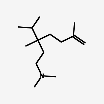 C=C(C)CCC(C)(CCN(C)C)C(C)C